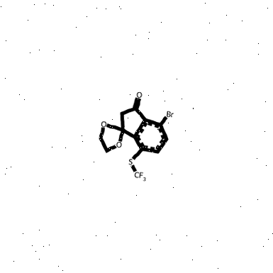 O=C1CC2(OCCO2)c2c(SC(F)(F)F)ccc(Br)c21